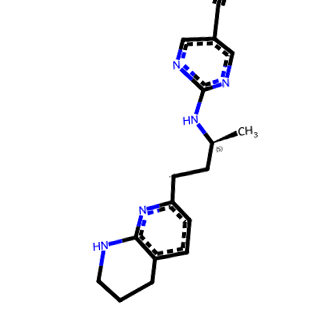 C[C@@H](C[CH]c1ccc2c(n1)NCCC2)Nc1ncc(C#N)cn1